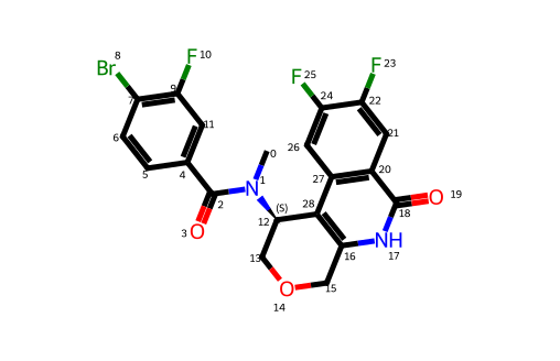 CN(C(=O)c1ccc(Br)c(F)c1)[C@@H]1COCc2[nH]c(=O)c3cc(F)c(F)cc3c21